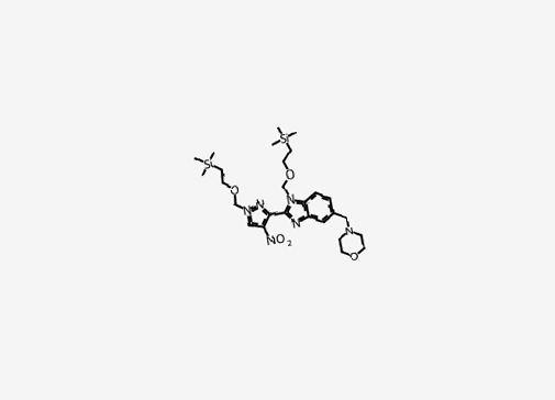 C[Si](C)(C)CCOCn1cc([N+](=O)[O-])c(-c2nc3cc(CN4CCOCC4)ccc3n2COCC[Si](C)(C)C)n1